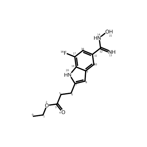 CCOC(=O)CCc1cc2cc(C(=N)NO)cc(F)c2[nH]1